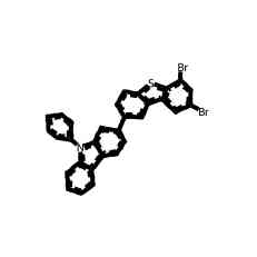 Brc1cc(Br)c2sc3ccc(-c4ccc5c6ccccc6n(-c6ccccc6)c5c4)cc3c2c1